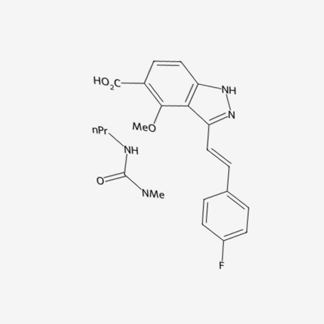 CCCNC(=O)NC.COc1c(C(=O)O)ccc2[nH]nc(/C=C/c3ccc(F)cc3)c12